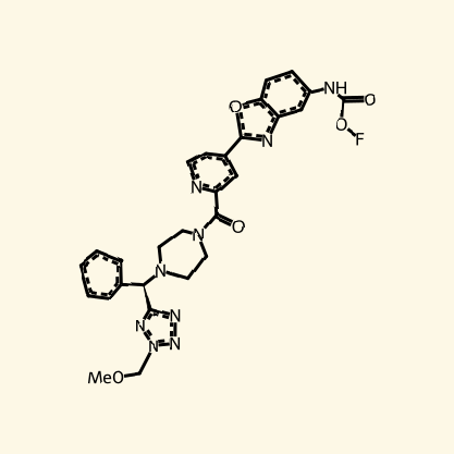 COCn1nnc([C@@H](c2ccccc2)N2CCN(C(=O)c3cc(-c4nc5cc(NC(=O)OF)ccc5o4)ccn3)CC2)n1